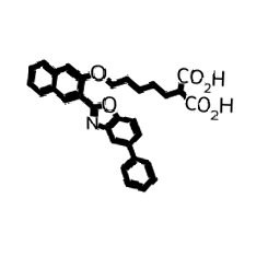 O=C(O)C(CCCCCOc1cc2ccccc2cc1-c1nc2cc(-c3ccccc3)ccc2o1)C(=O)O